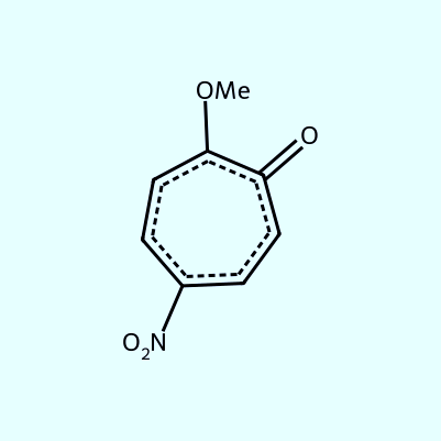 COc1ccc([N+](=O)[O-])ccc1=O